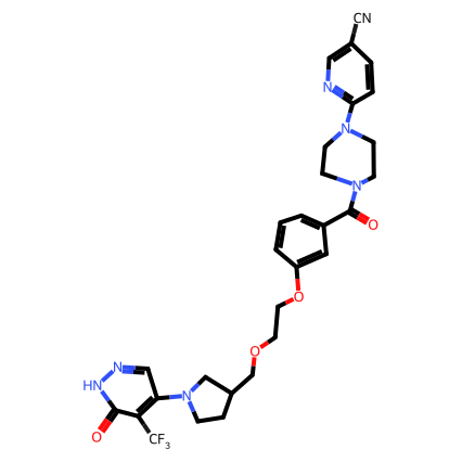 N#Cc1ccc(N2CCN(C(=O)c3cccc(OCCOCC4CCN(c5cn[nH]c(=O)c5C(F)(F)F)C4)c3)CC2)nc1